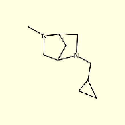 CN1CC2CC1CN2CC1CC1